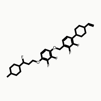 C=CC1CCC(c2ccc(COc3ccc(OCCC(F)C4CCC(C)CC4)c(F)c3F)c(F)c2F)CC1